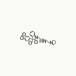 O=C1N(CCCNCCN2CCCC2)c2ccccc2C12COc1cc3c(cc12)OCO3